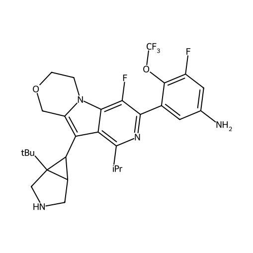 CC(C)c1nc(-c2cc(N)cc(F)c2OC(F)(F)F)c(F)c2c1c(C1C3CNCC31C(C)(C)C)c1n2CCOC1